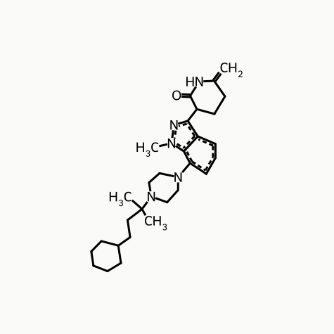 C=C1CCC(c2nn(C)c3c(N4CCN(C(C)(C)CCC5CCCCC5)CC4)cccc23)C(=O)N1